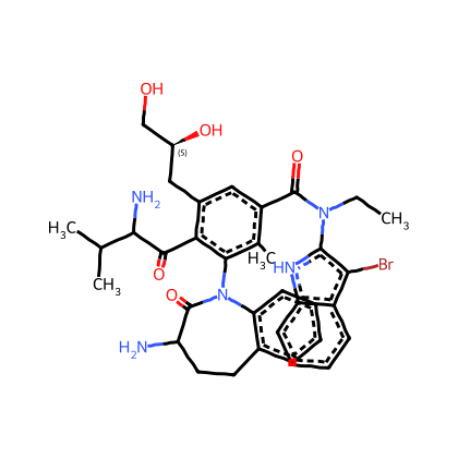 CCN(C(=O)c1cc(C[C@H](O)CO)c(C(=O)C(N)C(C)C)c(N2C(=O)C(N)CCc3ccccc32)c1C)c1[nH]c2ccccc2c1Br